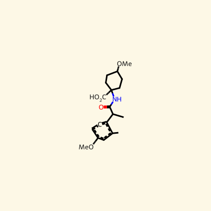 COc1ccc(C(C)C(=O)NC2(C(=O)O)CCC(OC)CC2)c(C)c1